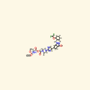 CC(C)[C@@H](NC(=O)OC(C)(C)C)C(=O)OCC(=O)N1CCN(c2ncc(-c3ccc4c(=O)n(C)n(Cc5ccccc5OC(F)F)c4c3)cn2)C[C@H]1C